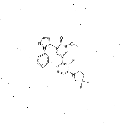 COc1cn(-c2cccc(N3CCC(F)(F)C3)c2F)nc(-c2ccnn2-c2ccccc2)c1=O